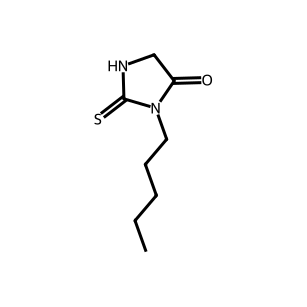 CCCCCN1C(=O)CNC1=S